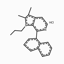 CCCn1c(C)c(C)c2ccnc(-c3cccc4ccccc34)c21.Cl